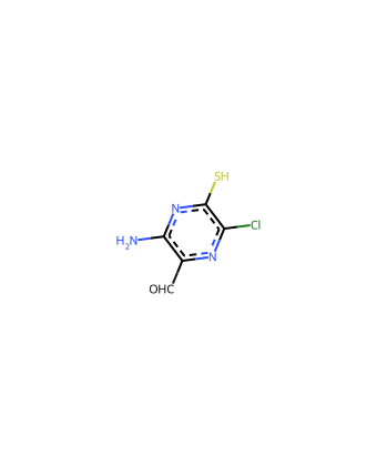 Nc1nc(S)c(Cl)nc1C=O